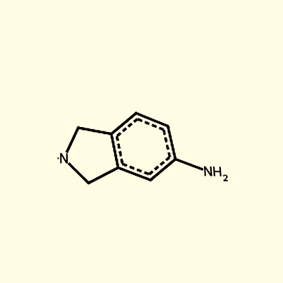 Nc1ccc2c(c1)C[N]C2